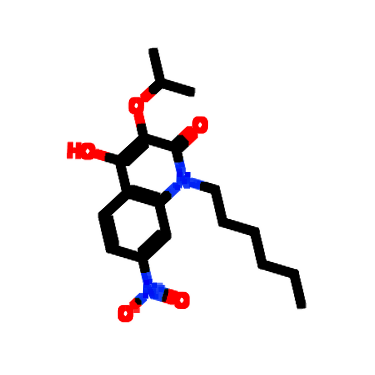 CCCCCCn1c(=O)c(OC(C)C)c(O)c2ccc([N+](=O)[O-])cc21